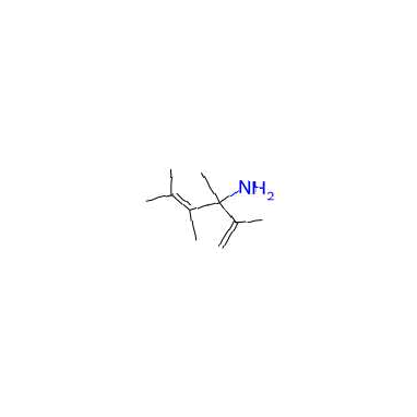 C=C(C)C(C)(N)C(C)=C(C)C